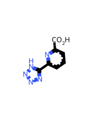 O=C(O)c1cccc(-c2nnn[nH]2)n1